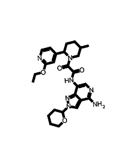 CCOc1cc(C2CCC(C)CN2C(=O)C(=O)Nc2cnc(N)c3cn(C4CCCCO4)nc23)ccn1